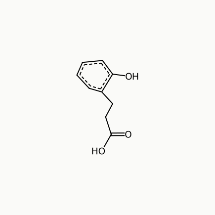 O=C(O)CCc1ccccc1O